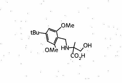 COc1cc(C(C)(C)C)cc(OC)c1CNC(C)(CO)C(=O)O